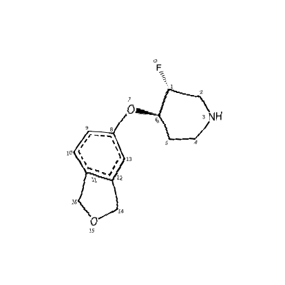 F[C@@H]1CNCC[C@H]1Oc1ccc2c(c1)COC2